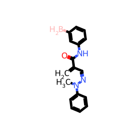 Bc1cccc(NC(=O)C(=C)/C=N\N(C)c2ccccc2)c1